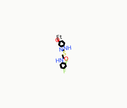 CCOc1ccc2[nH]c(SCC(=O)Nc3ccc(F)cc3F)nc2c1